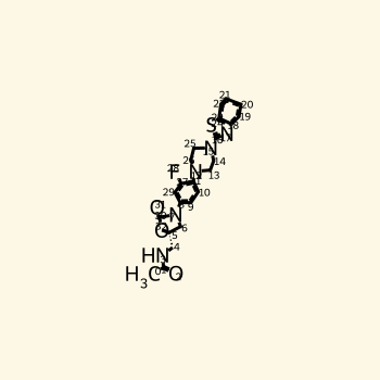 CC(=O)NC[C@H]1CN(c2ccc(N3CCN(c4nc5ccccc5s4)CC3)c(F)c2)C(=O)O1